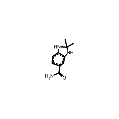 CC1(C)Nc2ccc(C(N)=O)cc2N1